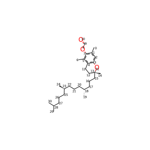 Cc1cc2c(c(C)c1OC=O)CC[C@@](C)(CCC[C@H](C)CCC[C@H](C)CCCC(C)C)O2